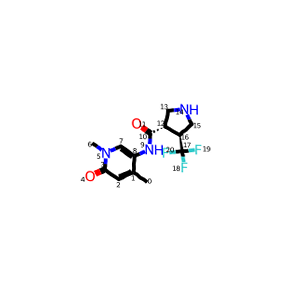 Cc1cc(=O)n(C)cc1NC(=O)[C@@H]1CNC[C@H]1C(F)(F)F